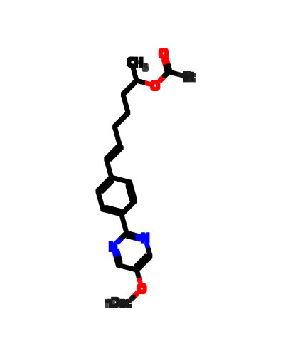 CCCCCCCCCCOc1cnc(-c2ccc(/C=C/CCCC(C)OC(=O)CC)cc2)nc1